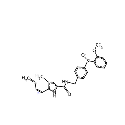 C=N/C=C\c1[nH]c(C(=O)NCc2ccc([S+]([O-])c3ccccc3OC(F)(F)F)cc2)cc1C